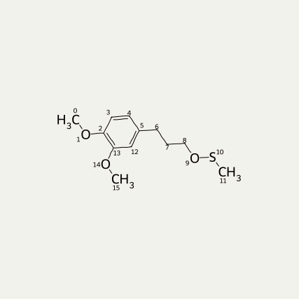 COc1ccc(CCCOSC)cc1OC